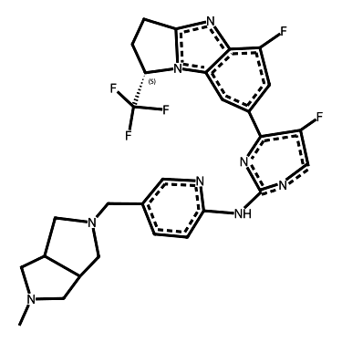 CN1CC2CN(Cc3ccc(Nc4ncc(F)c(-c5cc(F)c6nc7n(c6c5)[C@H](C(F)(F)F)CC7)n4)nc3)CC2C1